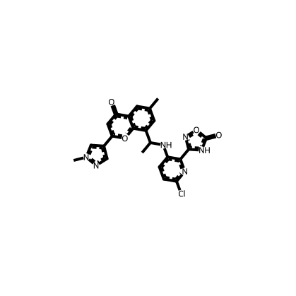 Cc1cc(C(C)Nc2ccc(Cl)nc2-c2noc(=O)[nH]2)c2oc(-c3cnn(C)c3)cc(=O)c2c1